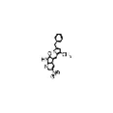 Cc1cc(Cc2ccccc2)sc1C=C1C(=O)Nc2ncc([N+](=O)[O-])cc21